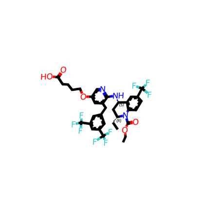 CCOC(=O)N1c2ccc(C(F)(F)F)cc2[C@@H](Nc2ncc(OCCCCC(=O)O)cc2Cc2cc(C(F)(F)F)cc(C(F)(F)F)c2)C[C@H]1CC